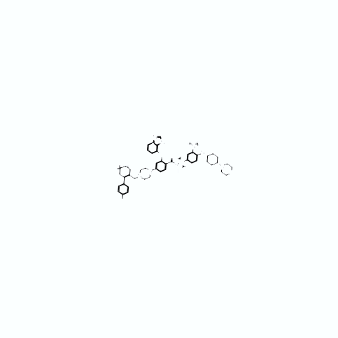 CC1(C)CCC(CN2CCN(c3ccc(C(=O)NS(=O)(=O)c4ccc(N[C@H]5CC[C@H](N6CCOCC6)CC5)c([N+](=O)[O-])c4)c(Oc4cccc5[nH]cnc45)c3)CC2)=C(c2ccc(Cl)cc2)C1